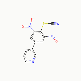 N#CSc1c(N=O)cc(-c2cccnc2)cc1[N+](=O)[O-]